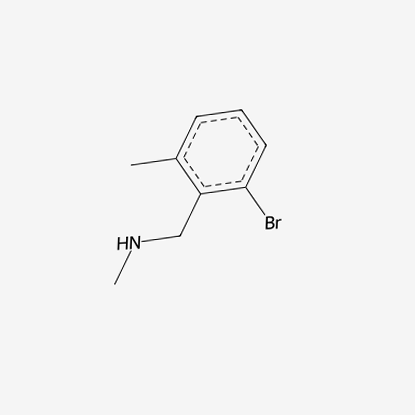 CNCc1c(C)cccc1Br